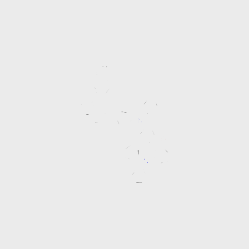 c1ccc(N(c2ccc(-c3ccc4cccc(-c5ccc6ccccc6c5)c4c3)cc2)c2ccc3c(c2)oc2cccc(-n4c5ccccc5c5ccccc54)c23)cc1